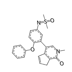 Cn1cc(-c2cc(N=S(C)(C)=O)ccc2Oc2ccccc2)c2c(c1=O)CC=C2